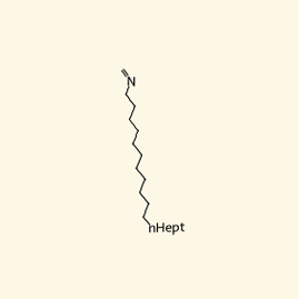 C=NCCCCCCCCCCCCCCCCCC